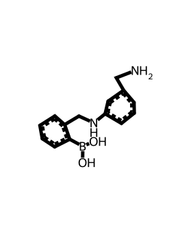 NCc1cccc(NCc2ccccc2B(O)O)c1